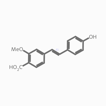 COc1cc(/C=C/c2ccc(O)cc2)ccc1C(=O)O